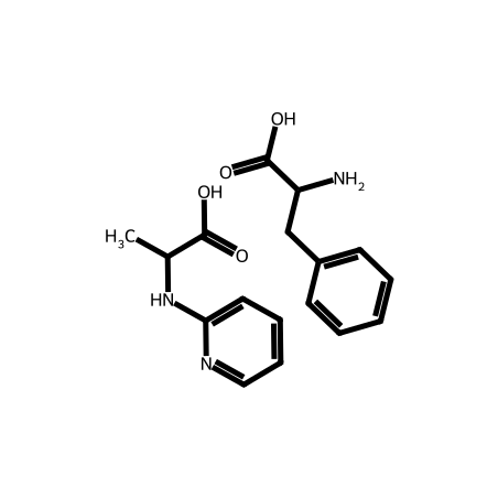 CC(Nc1ccccn1)C(=O)O.NC(Cc1ccccc1)C(=O)O